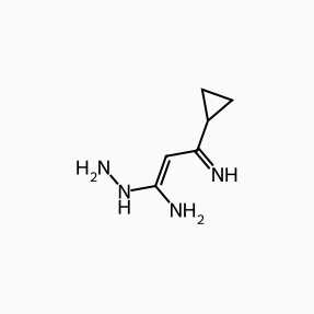 N=C(/C=C(\N)NN)C1CC1